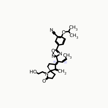 C=C1/C(=C(\C=C/C)c2noc(-c3ccc(OC(C)C)c(C#N)c3)n2)CC[C@]12CCC(=O)N2CCO